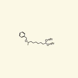 CCCOC(CCCCCCC(C)OCc1ccccc1)OCCC